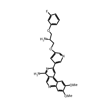 COc1cc2ncc3c(N)nc(-c4cncc(OC[C@@H](N)COc5cccc(F)c5)c4)cc3c2cc1OC